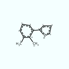 Cc1cc[c]c(-c2cccs2)c1C